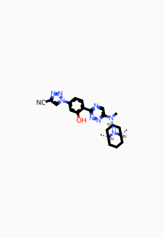 CN(c1cnc(-c2ccc(-n3cc(C#N)nn3)cc2O)nn1)[C@H]1C[C@]2(C)CCC[C@](C)(C1)N2